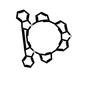 c1ccc2c(c1)c1c3c4ccccc4n4c5cccc(c5)c5ccc6sc7ccc(cc7c6c5)c5cccc(c5)n2c1ccc34